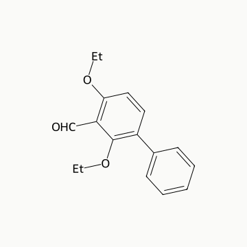 CCOc1ccc(-c2ccccc2)c(OCC)c1C=O